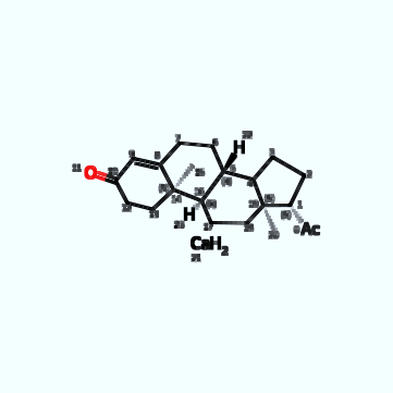 CC(=O)[C@H]1CCC2[C@H]3CCC4=CC(=O)CC[C@]4(C)[C@@H]3CC[C@@]21C.[CaH2]